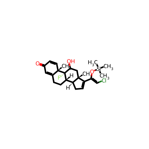 C[C@]12C=CC(=O)C=C1CC[C@H]1[C@@H]3CC=C(C(=CCl)O[Si](C)(C)C)[C@@]3(C)CC(O)[C@@]12F